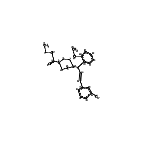 CCOC(=O)N1CCN(C(C#Cc2cccc(Cl)c2)c2ccccc2OC)CC1